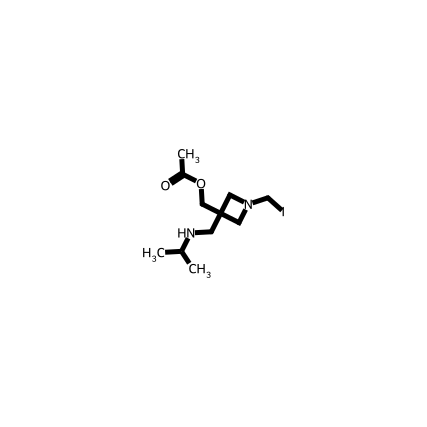 CC(=O)OCC1(CNC(C)C)CN(CI)C1